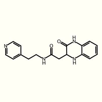 O=C(CC1Nc2ccccc2NC1=O)NCCc1ccncc1